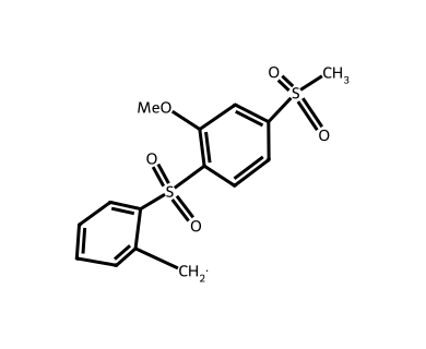 [CH2]c1ccccc1S(=O)(=O)c1ccc(S(C)(=O)=O)cc1OC